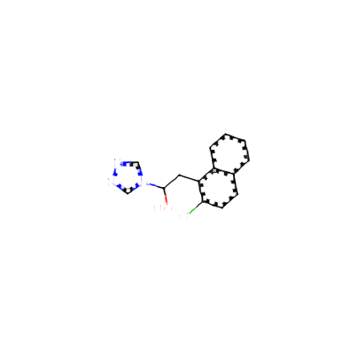 OC(Cc1c(Cl)ccc2ccccc12)n1cnnc1